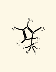 CC1=C(C)[C](C)([Ir]([Cl])([Cl])([Cl])([Cl])[Cl])C(C)=C1C